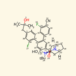 CC(C)(O)Cc1ccc(-c2ccc(C(=O)N3[C@@H]4CC[C@H]3C[C@@H](N(C(=O)O)C(C)(C)C)C4)cc2-c2ccc(C#N)c(F)c2)c(F)c1